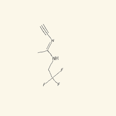 C#C/N=C(\C)NCC(F)(F)F